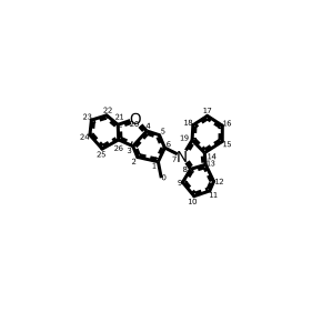 Cc1cc2c(cc1-n1c3ccccc3c3ccccc31)oc1ccccc12